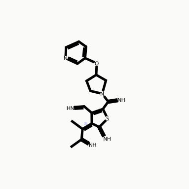 CC(=N)/C(C)=C1\C(=N)SC(C(=N)N2CCC(Oc3cccnc3)C2)=C1C=N